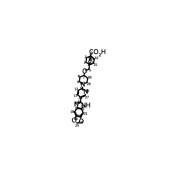 O=C(O)C12CCC(COC3CCN(c4ccc(-c5nc6cc7c(cc6[nH]5)OCO7)cn4)CC3)(CC1)CC2